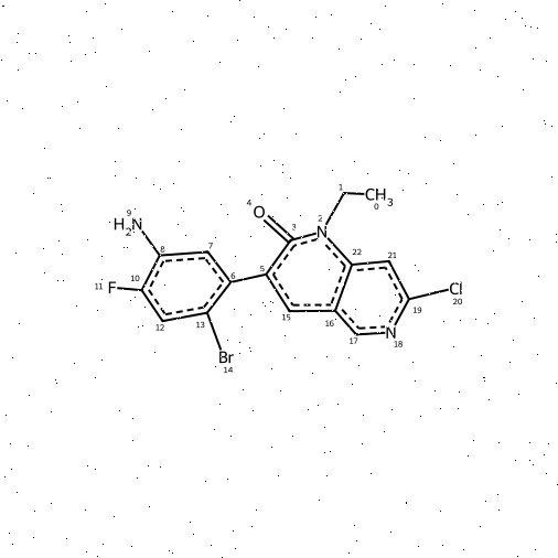 CCn1c(=O)c(-c2cc(N)c(F)cc2Br)cc2cnc(Cl)cc21